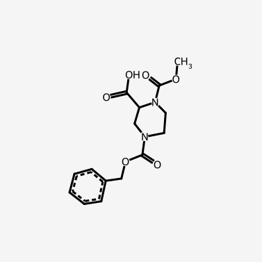 COC(=O)N1CCN(C(=O)OCc2ccccc2)CC1C(=O)O